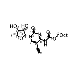 C#Cc1cn([C@@H]2O[C@H](C)[C@@H](O)[C@H]2O)c(=O)nc1NC(=O)OCCCCCCCC